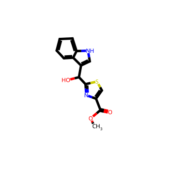 COC(=O)c1csc(C(O)c2c[nH]c3ccccc23)n1